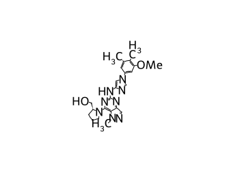 COc1cc(-n2cnc(Nc3nc(N4CCC[C@H]4CO)c4c(cnn4C)n3)c2)cc(C)c1C